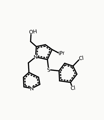 CC(C)c1cc(CO)n(Cc2ccncc2)c1Sc1cc(Cl)cc(Cl)c1